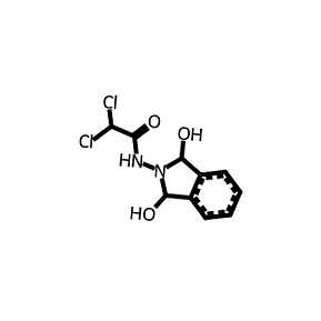 O=C(NN1C(O)c2ccccc2C1O)C(Cl)Cl